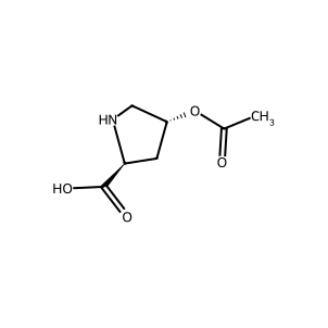 CC(=O)O[C@H]1CN[C@H](C(=O)O)C1